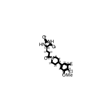 COc1cc(C2CCN(C(=O)CC[C@H]3NC(=O)NC3=O)CC2)cc(F)c1Cl